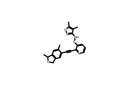 Cc1cc2c(cc1C#Cc1ncccc1SNc1noc(C)c1C)COC2C